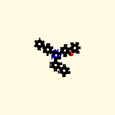 c1ccc(-c2ccc(-c3nc(-c4cccc(-c5ccccc5)c4)nc(-c4ccc5c(c4)oc4ccccc45)n3)cc2)cc1